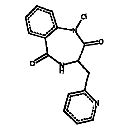 O=C1NC(Cc2ccccn2)C(=O)N(Cl)c2ccccc21